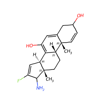 C[C@]12C=CC(O)CC1=CC(O)=C1[C@H]2CC[C@]2(C)C(N)C(F)=C[C@@H]12